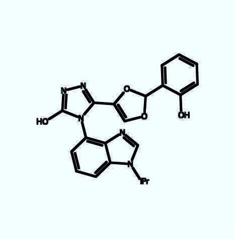 CC(C)n1cnc2c(-n3c(O)nnc3C3=COC(c4ccccc4O)O3)cccc21